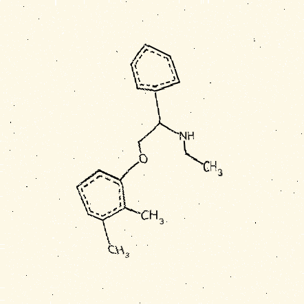 CCNC(COc1cccc(C)c1C)c1ccccc1